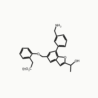 CCOC(=O)Cc1ccccc1OCc1cc(-c2cccc(CN)c2)c2oc(C(C)O)cc2c1